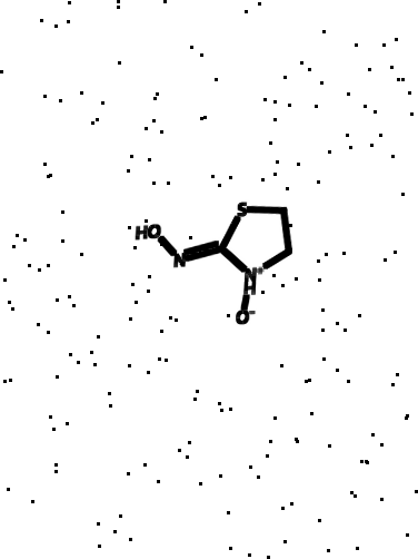 [O-][NH+]1CCSC1=NO